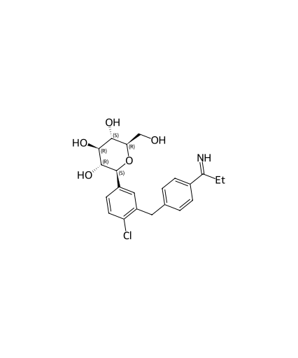 CCC(=N)c1ccc(Cc2cc([C@@H]3O[C@H](CO)[C@@H](O)[C@H](O)[C@H]3O)ccc2Cl)cc1